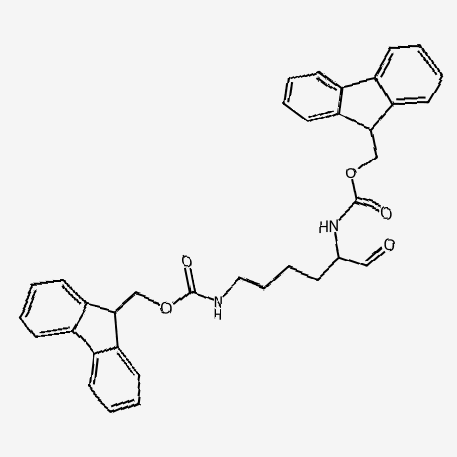 O=CC(CCCCNC(=O)OCC1c2ccccc2-c2ccccc21)NC(=O)OCC1c2ccccc2-c2ccccc21